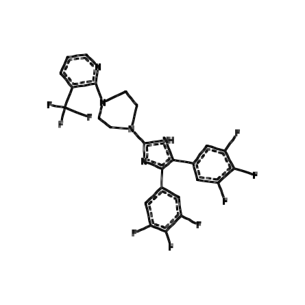 Fc1cc(-c2nc(N3CCN(c4ncccc4C(F)(F)F)CC3)[nH]c2-c2cc(F)c(F)c(F)c2)cc(F)c1F